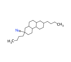 CCCCC1CCC2C(CCC3CC(C#N)(CCCC)CCC32)C1